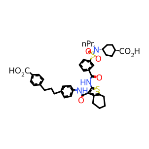 CCCN([C@H]1CC[C@H](C(=O)O)CC1)S(=O)(=O)c1cccc(C(=O)Nc2sc3c(c2C(=O)Nc2ccc(CCCc4ccc(C(=O)O)cc4)cc2)CCCC3)c1